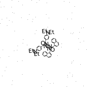 CCN(CC)c1ccc(-c2nnc(-c3ccc(N(CC)CC)cc3)o2)cc1.c1ccc2c(-c3nnc(-c4cccc5ccccc45)o3)cccc2c1